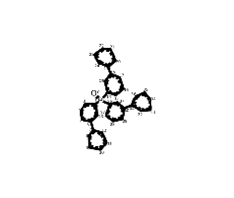 O=P(c1cccc(-c2ccccc2)c1)(c1cccc(-c2ccccc2)c1)c1cccc(-c2ccccc2)c1